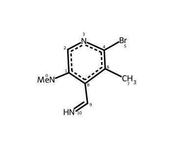 CNc1cnc(Br)c(C)c1C=N